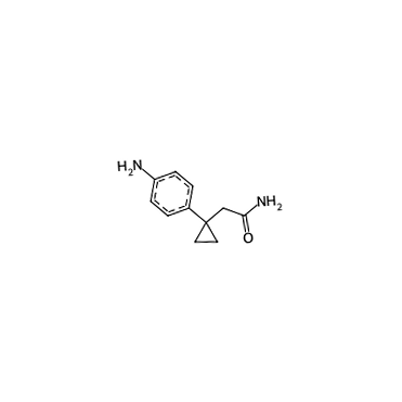 NC(=O)CC1(c2ccc(N)cc2)CC1